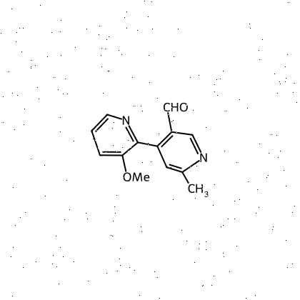 COc1cccnc1-c1cc(C)ncc1C=O